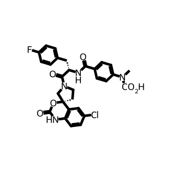 CN(C(=O)O)c1ccc(C(=O)N[C@@H](Cc2ccc(F)cc2)C(=O)N2CC[C@@]3(C2)OC(=O)Nc2ccc(Cl)cc23)cc1